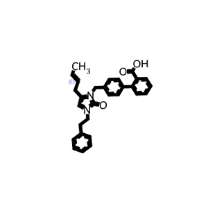 C/C=C/Cc1cn(CCc2ccccc2)c(=O)n1Cc1ccc(-c2ccccc2C(=O)O)cc1